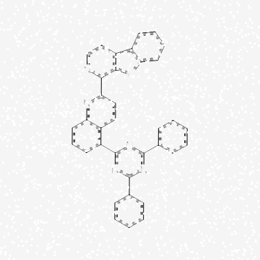 c1ccc(-c2nc(-c3ccccc3)nc(-c3cccc4nc(-c5nccc6c5oc5ccccc56)ccc34)n2)cc1